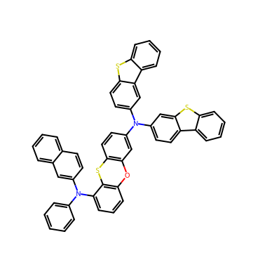 c1ccc(N(c2ccc3ccccc3c2)c2cccc3c2Sc2ccc(N(c4ccc5c(c4)sc4ccccc45)c4ccc5sc6ccccc6c5c4)cc2O3)cc1